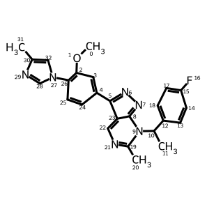 COc1cc(-c2nnc3n(C(C)c4ccc(F)cc4)c(C)ncc2-3)ccc1-n1cnc(C)c1